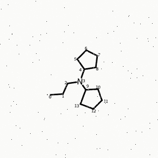 [CH2]CCN(C1CCCC1)C1CCCC1